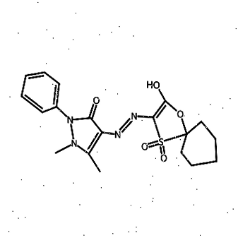 Cc1c(N=NC2=C(O)OC3(CCCCC3)S2(=O)=O)c(=O)n(-c2ccccc2)n1C